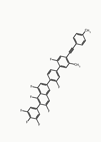 Cc1ccc(C#Cc2cc(F)c(-c3ccc(-c4cc(F)c5c(F)c(-c6cc(F)c(F)c(F)c6)c(F)cc5c4)c(F)c3)cc2C)cc1